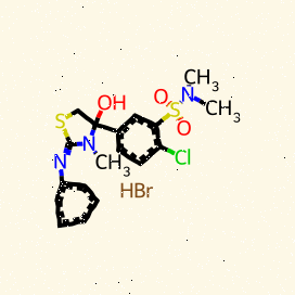 Br.CN1/C(=N\c2ccccc2)SCC1(O)c1ccc(Cl)c(S(=O)(=O)N(C)C)c1